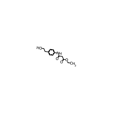 CCOC(=O)CC(=O)Nc1ccc(CCO)cc1